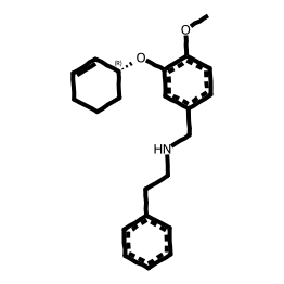 COc1ccc(CNCCc2ccccc2)cc1O[C@H]1C=CCCC1